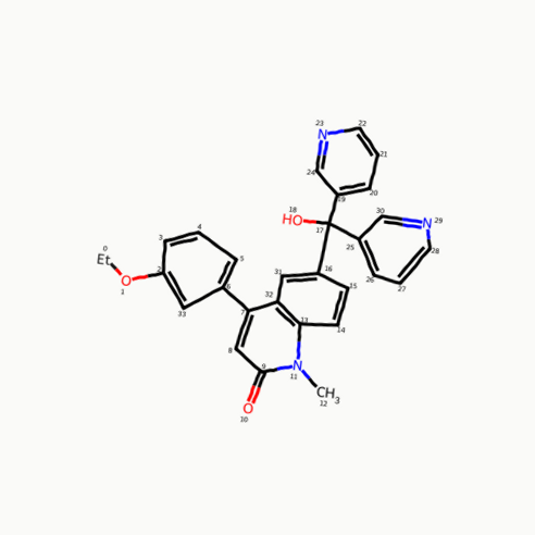 CCOc1cccc(-c2cc(=O)n(C)c3ccc(C(O)(c4cccnc4)c4cccnc4)cc23)c1